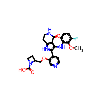 COc1c(F)cccc1Nc1c(-c2ccncc2OCC2CCN2C(=O)O)[nH]c2c1C(=O)NCC2